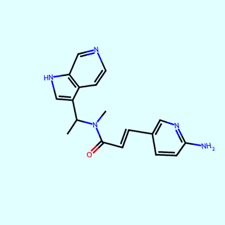 CC(c1c[nH]c2cnccc12)N(C)C(=O)/C=C/c1ccc(N)nc1